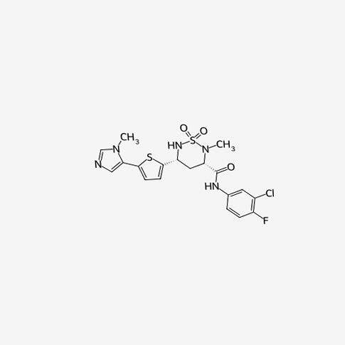 CN1[C@H](C(=O)Nc2ccc(F)c(Cl)c2)C[C@H](c2ccc(-c3cncn3C)s2)NS1(=O)=O